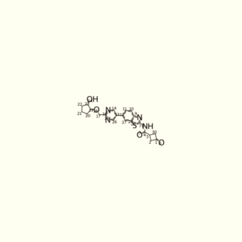 O=C1CC(C(=O)Nc2nc3ccc(-c4cnc(CO[C@H]5CCC[C@@H]5O)nc4)cc3s2)C1